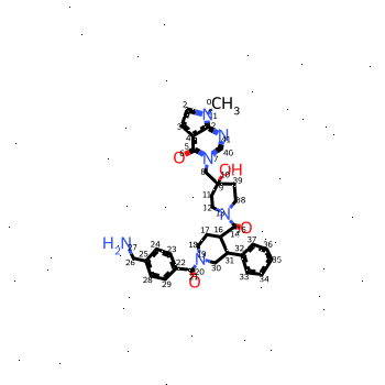 Cn1ccc2c(=O)n(CC3(O)CCN(C(=O)C4CCN(C(=O)c5ccc(CN)cc5)CC4c4ccccc4)CC3)cnc21